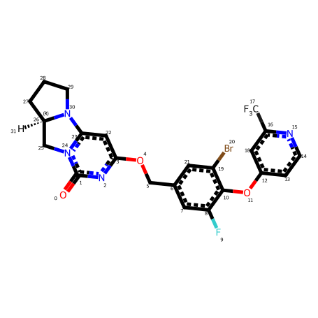 O=c1nc(OCc2cc(F)c(Oc3ccnc(C(F)(F)F)c3)c(Br)c2)cc2n1C[C@H]1CCCN21